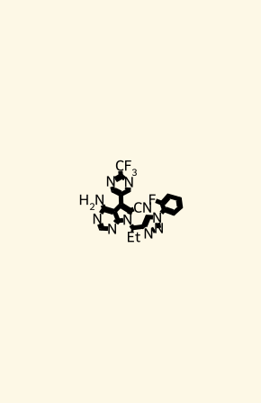 CC[C@H](c1cn(-c2ccccc2F)nn1)n1c(C#N)c(-c2cnc(C(F)(F)F)nc2)c2c(N)ncnc21